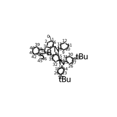 Cc1cc2c3c(c1)N(c1ccccc1)c1cc(N(c4ccc(C(C)(C)C)cc4)c4ccc(C(C)(C)C)cc4)ccc1B3C1=C2c2ccccc2S1(C)C